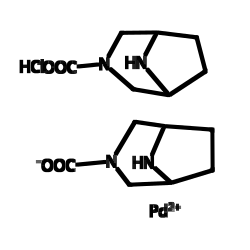 Cl.O=C([O-])N1CC2CCC(C1)N2.O=C([O-])N1CC2CCC(C1)N2.[Pd+2]